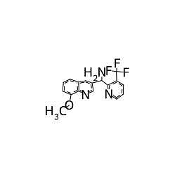 COc1cccc2cc(C(N)c3ncccc3C(F)(F)F)cnc12